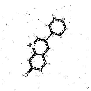 O=c1cc2[nH]cc(-c3cccnc3)cc-2cn1